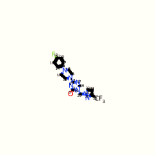 O=c1nc(N2CCN(c3ccc(F)cc3)CC2)ncn1Cn1ccc(C(F)(F)F)n1